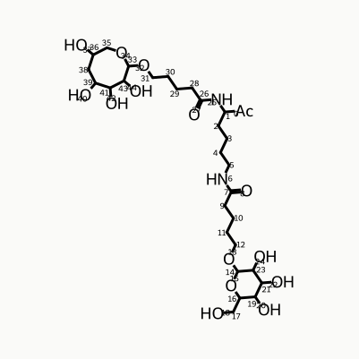 CC(=O)C(CCCCNC(=O)CCCCOC1OC(CO)C(O)C(O)C1O)NC(=O)CCCCOC1OCC(O)CC(O)C(O)C1O